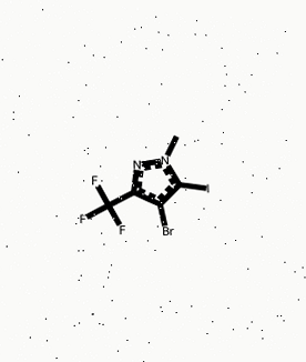 Cn1nc(C(F)(F)F)c(Br)c1I